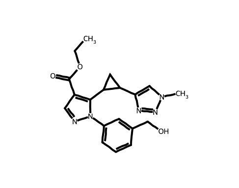 CCOC(=O)c1cnn(-c2cccc(CO)c2)c1C1CC1c1cn(C)nn1